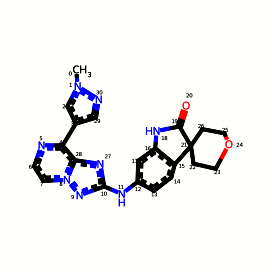 Cn1cc(-c2nccn3nc(Nc4ccc5c(c4)NC(=O)C54CCOCC4)nc23)cn1